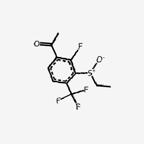 CC[S+]([O-])c1c(C(F)(F)F)ccc(C(C)=O)c1F